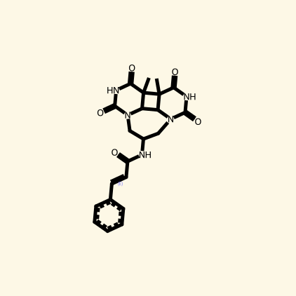 CC12C(=O)NC(=O)N3CC(NC(=O)/C=C/c4ccccc4)CN4C(=O)NC(=O)C1(C)C4C32